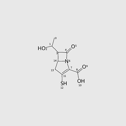 CC(O)C1C(=O)N2C(C(=O)O)=C(S)CC12